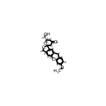 COc1ccc(Cc2cc3c(cc2Cl)COC32CC(=O)C[C@@H](CO)O2)cc1